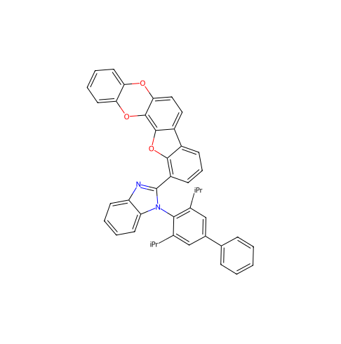 CC(C)c1cc(-c2ccccc2)cc(C(C)C)c1-n1c(-c2cccc3c2oc2c4c(ccc23)Oc2ccccc2O4)nc2ccccc21